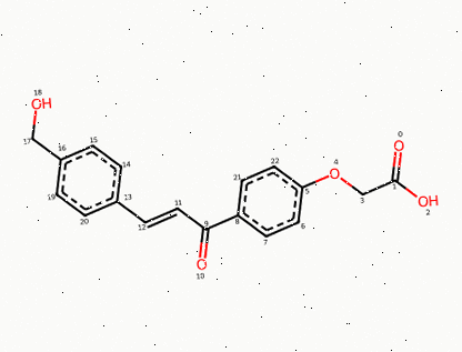 O=C(O)COc1ccc(C(=O)C=Cc2ccc(CO)cc2)cc1